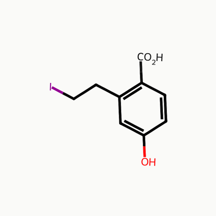 O=C(O)c1ccc(O)cc1CCI